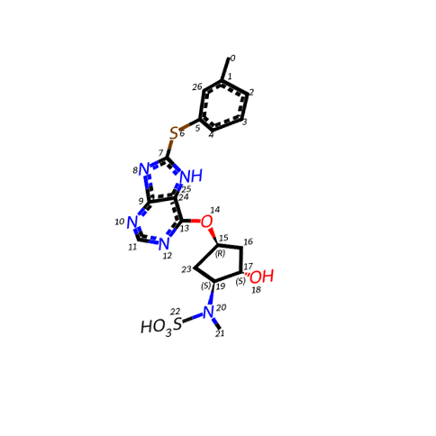 Cc1cccc(Sc2nc3ncnc(O[C@H]4C[C@H](O)[C@@H](N(C)S(=O)(=O)O)C4)c3[nH]2)c1